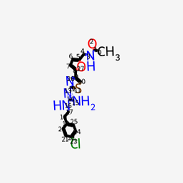 CC(=O)NCc1ccc(-c2csc(/N=C(\N)NCCc3ccc(Cl)cc3)n2)o1